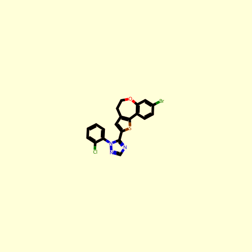 Clc1ccccc1-n1ncnc1-c1cc2c(s1)-c1ccc(Br)cc1OCC2